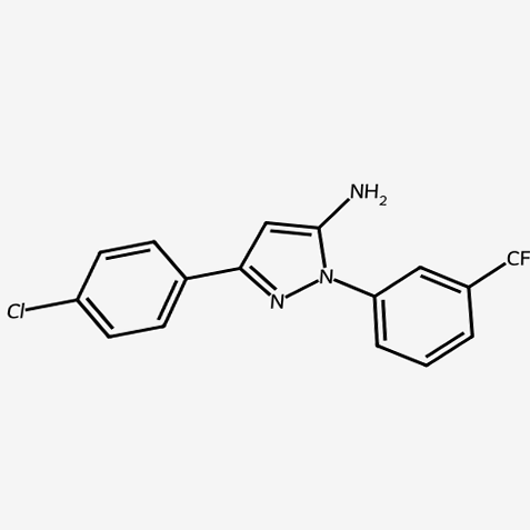 Nc1cc(-c2ccc(Cl)cc2)nn1-c1cccc(C(F)(F)F)c1